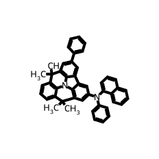 CC1(C)c2cccc3c2-n2c4c1cc(-c1ccccc1)cc4c1cc(N(c4ccccc4)c4cccc5ccccc45)cc(c12)C3(C)C